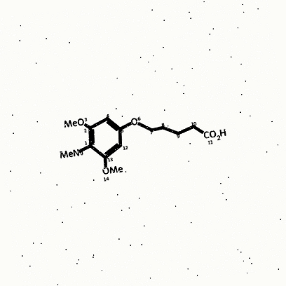 CNc1c(OC)cc(OCCCCC(=O)O)cc1OC